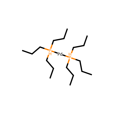 CCC[PH](CCC)(CCC)[Pd][PH](CCC)(CCC)CCC